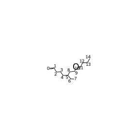 C=CCCCC(CC)CCOCCCC